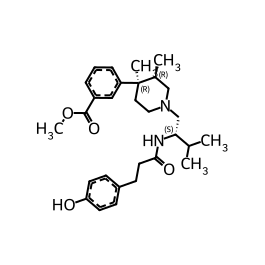 COC(=O)c1cccc([C@]2(C)CCN(C[C@@H](NC(=O)CCc3ccc(O)cc3)C(C)C)C[C@@H]2C)c1